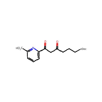 CCCCCCCCCCCCCC(=O)CC(=O)c1cccc(C(=O)O)n1